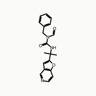 CC(C)(NC(=O)N(C=O)Cc1ccccc1)c1cc2cnccc2o1